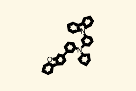 c1ccc(N(c2cccc(-c3ccc4c(c3)oc3ccccc34)c2)c2cccc(-n3c4ccccc4c4ccccc43)c2)cc1